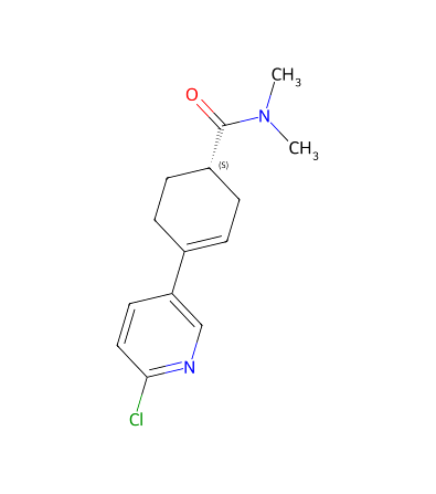 CN(C)C(=O)[C@@H]1CC=C(c2ccc(Cl)nc2)CC1